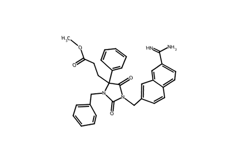 COC(=O)CCC1(c2ccccc2)C(=O)N(Cc2ccc3ccc(C(=N)N)cc3c2)C(=O)N1Cc1ccccc1